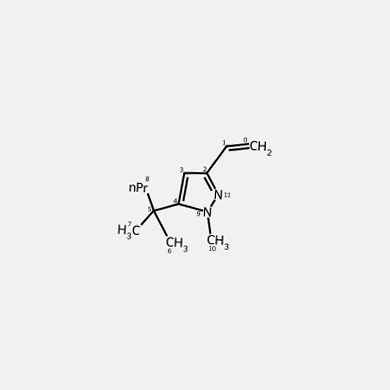 C=Cc1cc(C(C)(C)CCC)n(C)n1